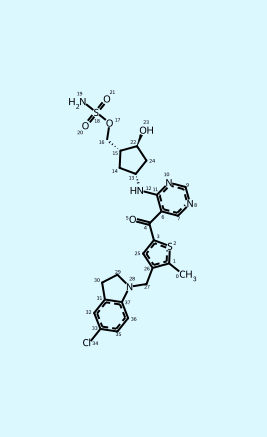 Cc1sc(C(=O)c2cncnc2N[C@@H]2C[C@H](COS(N)(=O)=O)[C@@H](O)C2)cc1CN1CCc2cc(Cl)ccc21